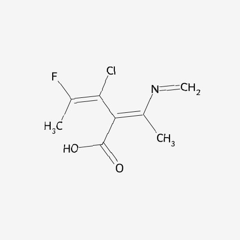 C=N/C(C)=C(C(=O)O)\C(Cl)=C(/C)F